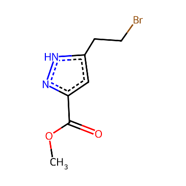 COC(=O)c1cc(CCBr)[nH]n1